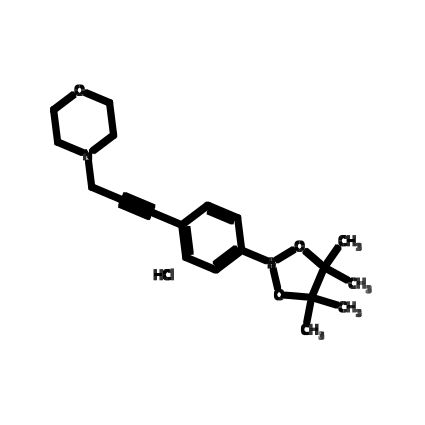 CC1(C)OB(c2ccc(C#CCN3CCOCC3)cc2)OC1(C)C.Cl